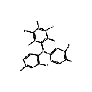 Cc1ccc(N(c2ccc(C)c(F)c2)c2c(F)c(F)c(C)c(F)c2F)c(F)c1